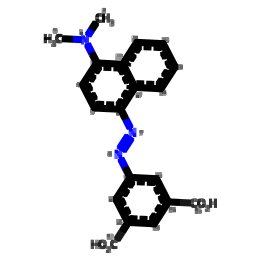 CN(C)c1ccc(N=Nc2cc(C(=O)O)cc(C(=O)O)c2)c2ccccc12